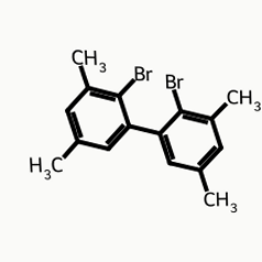 Cc1cc(C)c(Br)c(-c2cc(C)cc(C)c2Br)c1